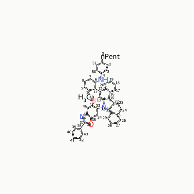 CCCCCc1ccc(Nc2ccccc2-c2c3c4c(c5ccccc25)c2ccc5ccccc5c2n4-c2cc4oc(-c5ccccc5)nc4cc2B3C)cc1